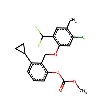 COC(=O)Oc1cccc(C2CC2)c1COc1cc(Cl)c(C)cc1C(F)F